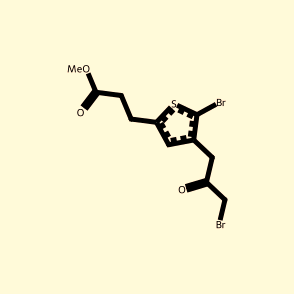 COC(=O)CCc1cc(CC(=O)CBr)c(Br)s1